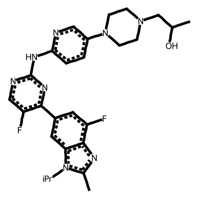 Cc1nc2c(F)cc(-c3nc(Nc4ccc(N5CCN(CC(C)O)CC5)cn4)ncc3F)cc2n1C(C)C